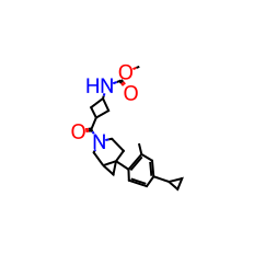 COC(=O)NC1CC(C(=O)N2CCC3(c4ccc(C5CC5)cc4C)CC3C2)C1